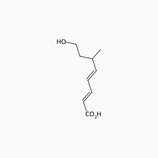 CC(C=CC=CC(=O)O)CCO